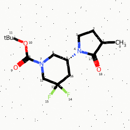 CC1CCN([C@H]2CN(C(=O)OC(C)(C)C)CC(F)(F)C2)C1=O